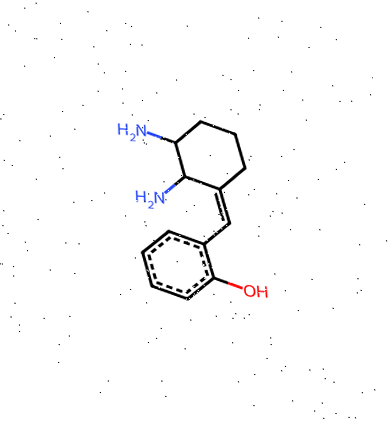 NC1CCCC(=Cc2ccccc2O)C1N